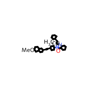 COc1ccc2cc(C#Cc3ccc(-n4c(/C=C/c5ccccc5C)nc5ccccc5c4=O)c(C)c3)ccc2c1